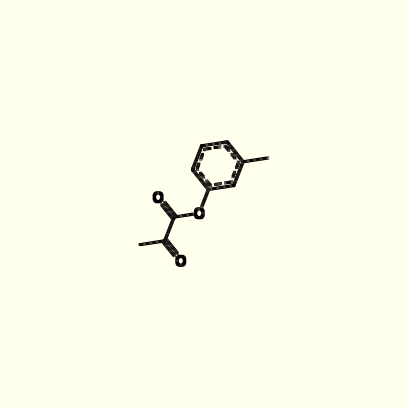 CC(=O)C(=O)Oc1cccc(C)c1